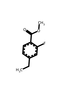 CCc1ccc(C(=O)OC)c(F)c1